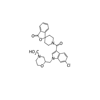 O=C1OC2(CCN(C(=O)c3cn(CC4CN(C(=O)O)CCO4)c4cc(Cl)ccc34)CC2)c2ccccc21